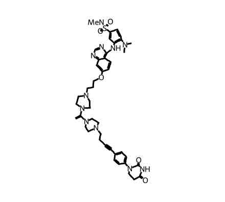 C=C(N1CCN(CCC#Cc2ccc(N3CCC(=O)NC3=O)cc2)CC1)N1CCN(CCCOc2ccc3c(Nc4cc(S(=O)(=O)NC)ccc4N(C)C)ncnc3c2)CC1